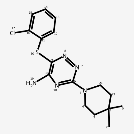 CC1(C)CCN(c2nnc(Sc3ccccc3Cl)c(N)n2)CC1